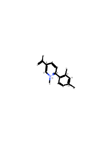 C=C(C)c1ccc(-c2ccc(C)cc2C)[n+](C)c1